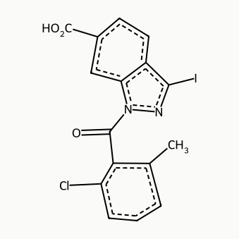 Cc1cccc(Cl)c1C(=O)n1nc(I)c2ccc(C(=O)O)cc21